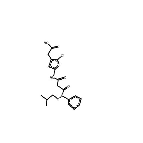 CC(C)CON(C(=O)CC(=O)Nc1nc(CC(=O)O)c(Cl)s1)c1ccccc1